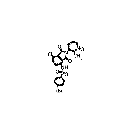 Cc1c(N2C(=O)c3c(Cl)ccc(NS(=O)(=O)c4ccc(C(C)(C)C)cc4)c3C2=O)ccc[n+]1[O-]